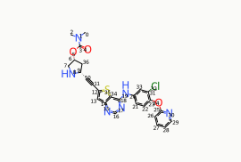 CN(C)C(=O)O[C@H]1CN[C@@H](C#Cc2cc3ncnc(Nc4ccc(Oc5ccccn5)c(Cl)c4)c3s2)C1